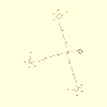 CC(=O)NC1C(OCCCCC(=O)NCCCNC(=O)CCOCC(COCCC(=O)NCCCNC(=O)CCCCOC2OC(COC(C)=O)C(OC(C)=O)C(OC(C)=O)C2NC(C)=O)(COCCC(=O)NCCCNC(=O)CCCCOC2OC(COC(C)=O)C(OC(C)=O)C(OC(C)=O)C2NC(C)=O)NC(=O)OCc2ccccc2)CC(COC(C)=O)C(OC(C)=O)C1OC(C)=O